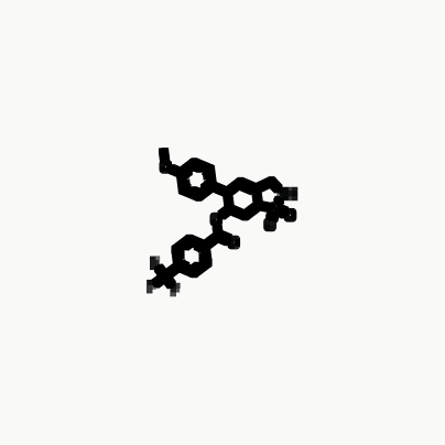 COc1ccc(C2C=C3CNS(=O)(=O)C3CC2OC(=O)c2ccc(C(F)(F)F)cc2)cc1